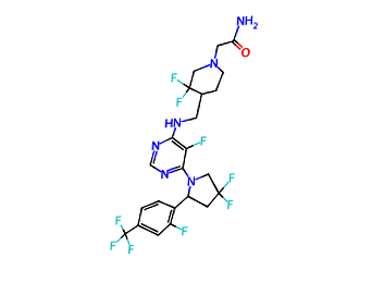 NC(=O)CN1CCC(CNc2ncnc(N3CC(F)(F)CC3c3ccc(C(F)(F)F)cc3F)c2F)C(F)(F)C1